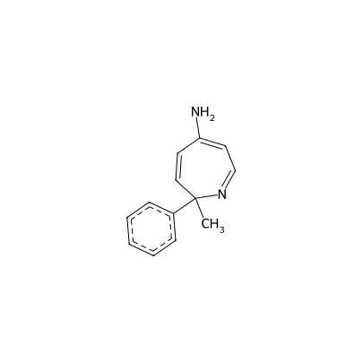 CC1(c2ccccc2)C=CC(N)=CC=N1